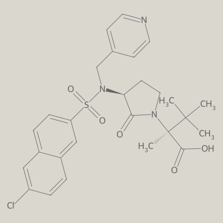 CC(C)(C)[C@@](C)(C(=O)O)N1CC[C@H](N(Cc2ccncc2)S(=O)(=O)c2ccc3cc(Cl)ccc3c2)C1=O